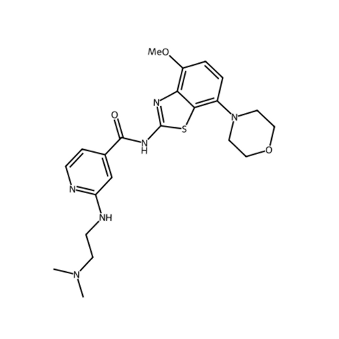 COc1ccc(N2CCOCC2)c2sc(NC(=O)c3ccnc(NCCN(C)C)c3)nc12